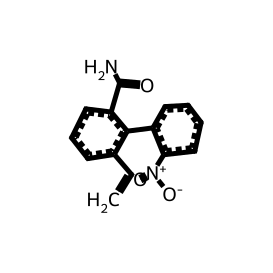 C=Cc1cccc(C(N)=O)c1-c1ccccc1[N+](=O)[O-]